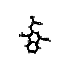 Nc1cc(C[N+](=O)[O-])c(O)c2ccccc12